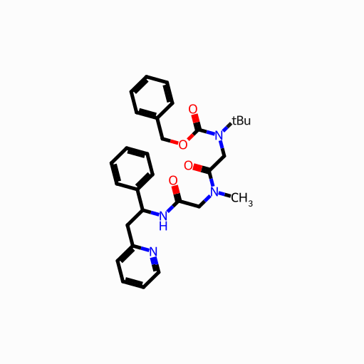 CN(CC(=O)NC(Cc1ccccn1)c1ccccc1)C(=O)CN(C(=O)OCc1ccccc1)C(C)(C)C